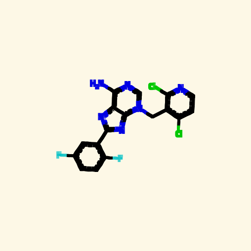 Nc1ncn(Cc2c(Cl)ccnc2Cl)c2nc(-c3cc(F)ccc3F)nc1-2